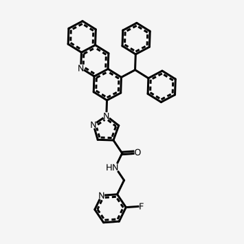 O=C(NCc1ncccc1F)c1cnn(-c2cc(C(c3ccccc3)c3ccccc3)c3cc4ccccc4nc3c2)c1